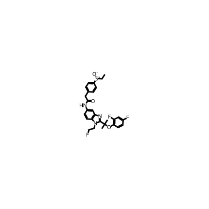 CC[S+]([O-])c1ccc(CC(=O)Nc2ccc3c(c2)nc(C(C)(C)Oc2ccc(F)cc2F)n3CCF)cc1